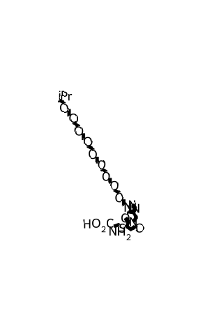 CC(C)CCOCCOCCOCCOCCOCCOCCOCCOCCOCCn1cc(CN2C(=O)CC(SCC(N)C(=O)O)C2=O)nn1